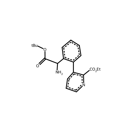 CCOC(=O)c1ncccc1-c1ccccc1C(N)C(=O)OC(C)(C)C